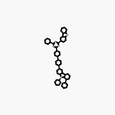 c1ccc(-c2nc(-c3ccc(-c4ccc(-c5ccc6c(c5)c5cccc(-c7ccccc7)c5n6-c5ccccc5)cc4)cc3)nc(-c3ccc4oc5ccccc5c4c3)n2)cc1